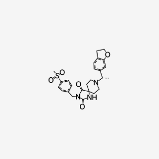 C[C@@H](c1ccc2c(c1)OCC2)N1CCC2(CC1)NC(=O)N(Cc1ccc(S(C)(=O)=O)cc1)C2=O